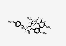 COc1ccc(CNP(=O)(NCc2ccc(OC)cc2)OC[C@@](F)(O[C@H](CF)n2ccc(N)nc2=O)[C@H](C)O)cc1